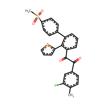 Cc1ccc(C(=O)C(=O)c2cccc(-c3ccc(S(C)(=O)=O)cc3)c2-c2cccs2)cc1F